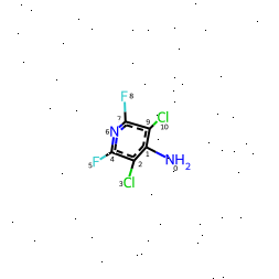 Nc1c(Cl)c(F)nc(F)c1Cl